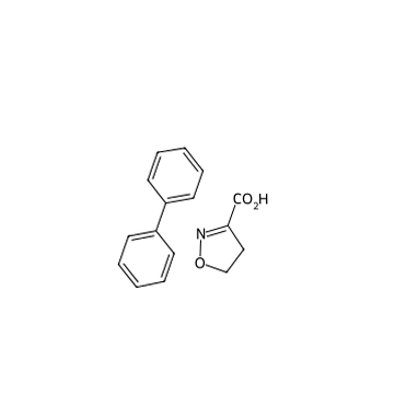 O=C(O)C1=NOCC1.c1ccc(-c2ccccc2)cc1